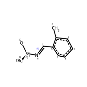 Cc1ccccc1/C=N/[S@+]([O-])C(C)(C)C